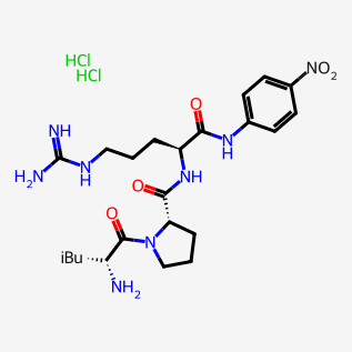 CC[C@@H](C)[C@@H](N)C(=O)N1CCC[C@H]1C(=O)N[C@@H](CCCNC(=N)N)C(=O)Nc1ccc([N+](=O)[O-])cc1.Cl.Cl